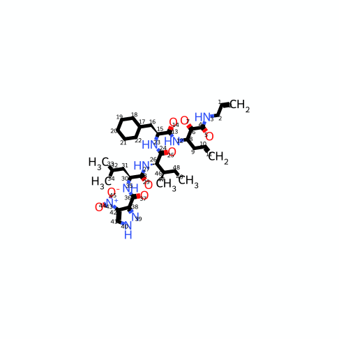 C=CCNC(=O)C(=O)C(CC=C)NC(=O)[C@H](CC1CCCCC1)NC(=O)[C@@H](NC(=O)[C@H](CC(C)C)NC(=O)c1n[nH]cc1[N+](=O)[O-])[C@H](C)CC